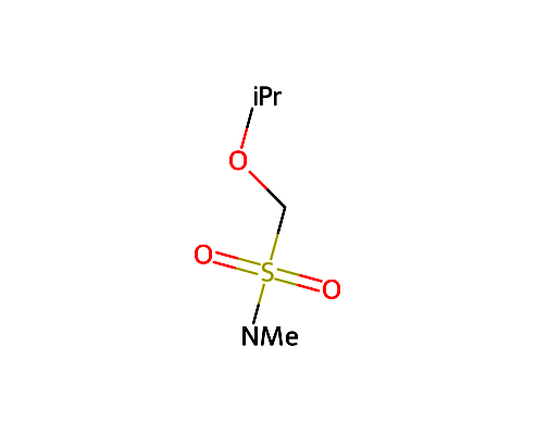 CNS(=O)(=O)COC(C)C